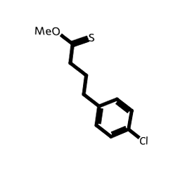 COC(=S)CCCc1ccc(Cl)cc1